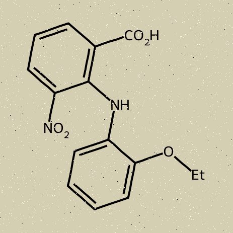 CCOc1ccccc1Nc1c(C(=O)O)cccc1[N+](=O)[O-]